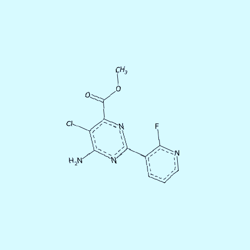 COC(=O)c1nc(-c2cccnc2F)nc(N)c1Cl